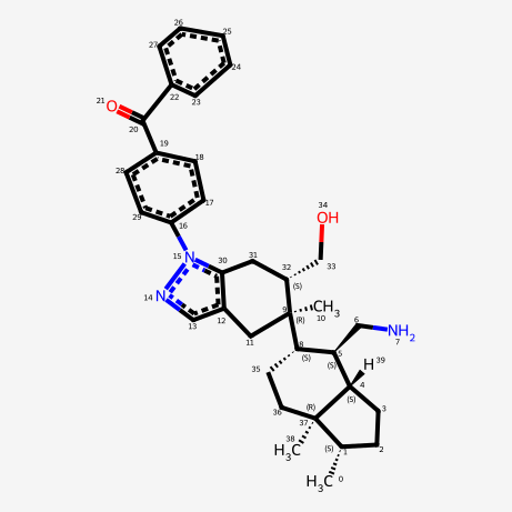 C[C@H]1CC[C@H]2[C@H](CN)[C@@H]([C@@]3(C)Cc4cnn(-c5ccc(C(=O)c6ccccc6)cc5)c4C[C@@H]3CO)CC[C@]12C